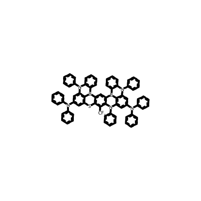 FC(F)(F)c1c2c(cc3c1N(c1ccccc1)c1cc(N(c4ccccc4)c4ccccc4)cc4c1B3c1ccccc1N4c1ccccc1)B1c3ccccc3N(c3ccccc3)c3cc(N(c4ccccc4)c4ccccc4)cc(c31)S2